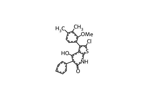 COc1c(-c2c(Cl)sc3[nH]c(=O)c(-c4ccccc4)c(O)c23)ccc(C)c1C